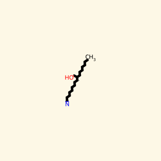 CCCCCCCCC([CH]CCCCCCCC#N)CO